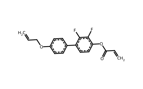 C=CCOc1ccc(-c2ccc(OC(=O)C=C)c(F)c2F)cc1